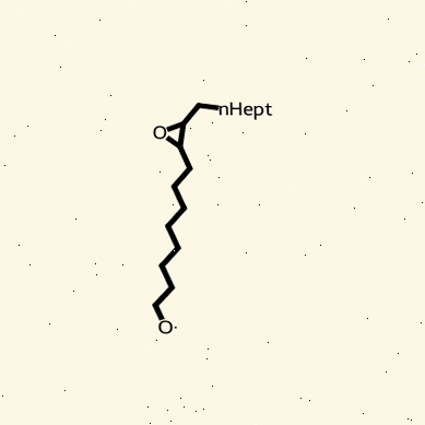 CCCCCCCCC1OC1CCCCCCCC[O]